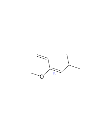 C=C/C(=C\C(C)C)OC